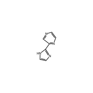 c1cnc(-c2ncc[nH]2)cn1